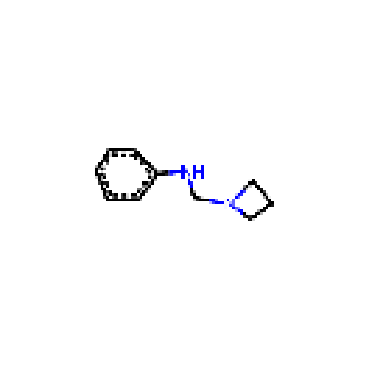 c1ccc(NCN2CCC2)cc1